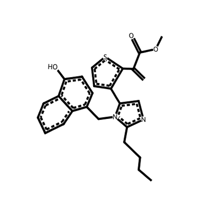 C=C(C(=O)OC)c1sccc1-c1cnc(CCCC)n1Cc1ccc(O)c2ccccc12